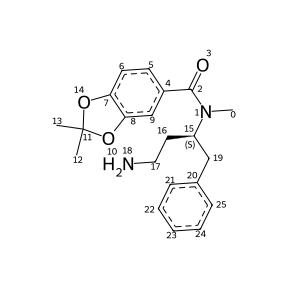 CN(C(=O)c1ccc2c(c1)OC(C)(C)O2)[C@H](CCN)Cc1ccccc1